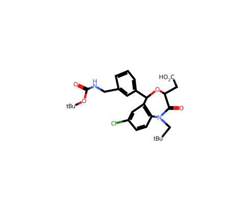 CC(C)(C)CN1C(=O)C(CC(=O)O)OC(c2cccc(CNC(=O)OC(C)(C)C)c2)c2cc(Cl)ccc21